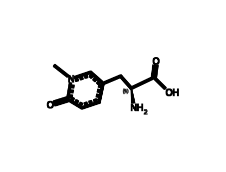 Cn1cc(C[C@H](N)C(=O)O)ccc1=O